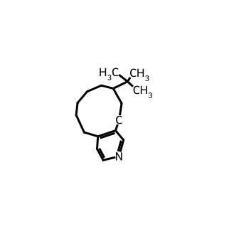 CC(C)(C)C1CCCCCc2ccncc2CC1